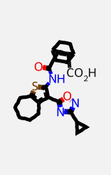 O=C(O)C1=C(C(=O)Nc2sc3c(c2-c2nc(C4CC4)no2)CCCCC3)C2CCC1CC2